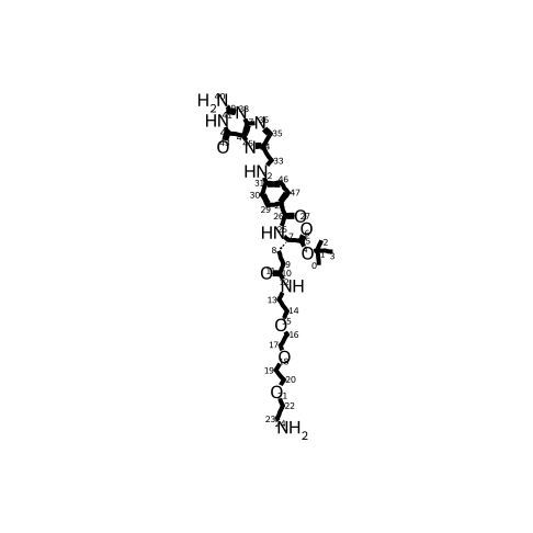 CC(C)(C)OC(=O)[C@H](CCC(=O)NCCOCCOCCOCCN)NC(=O)c1ccc(NCc2cnc3nc(N)[nH]c(=O)c3n2)cc1